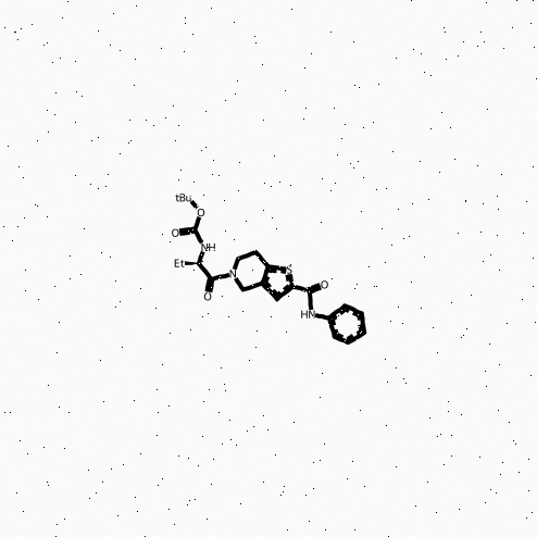 CC[C@@H](NC(=O)OC(C)(C)C)C(=O)N1CCc2sc(C(=O)Nc3ccccc3)cc2C1